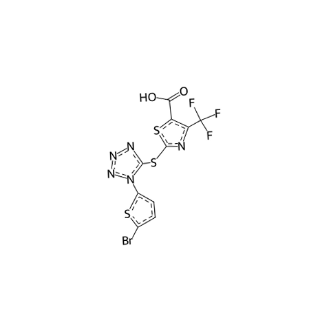 O=C(O)c1sc(Sc2nnnn2-c2ccc(Br)s2)nc1C(F)(F)F